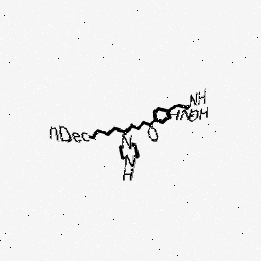 CCCCCCCCCCCCCCC(CCCC(=O)c1ccc(CC(=N)NO)cc1)N1CCNCC1